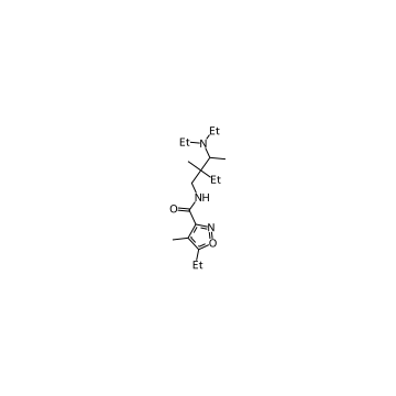 CCc1onc(C(=O)NCC(C)(CC)C(C)N(CC)CC)c1C